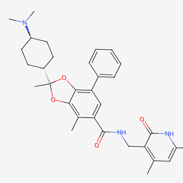 Cc1cc(C)c(CNC(=O)c2cc(-c3ccccc3)c3c(c2C)OC(C)([C@H]2CC[C@H](N(C)C)CC2)O3)c(=O)[nH]1